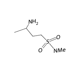 CNS(=O)(=O)CCC(C)N